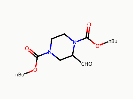 CCCCOC(=O)N1CCN(C(=O)OCCCC)C(C=O)C1